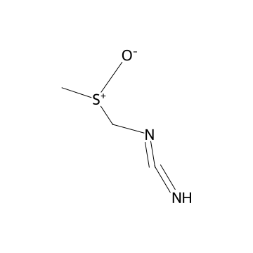 C[S+]([O-])CN=C=N